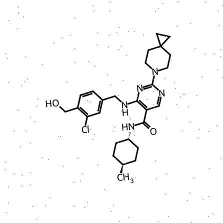 C[C@H]1CC[C@H](NC(=O)c2cnc(N3CCC4(CC3)CC4)nc2NCc2ccc(CO)c(Cl)c2)CC1